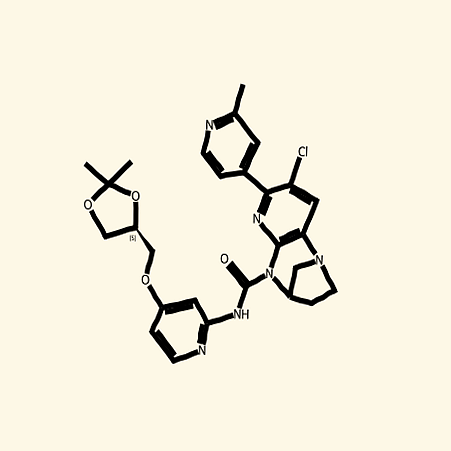 Cc1cc(-c2nc3c(cc2Cl)N2CCC(C2)N3C(=O)Nc2cc(OC[C@H]3COC(C)(C)O3)ccn2)ccn1